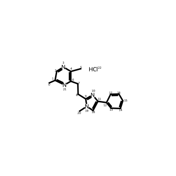 Cc1cnc(C)c(CCc2nc(-c3ccccc3)cn2C)n1.Cl